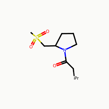 CC(C)CC(=O)N1CCCC1CS(C)(=O)=O